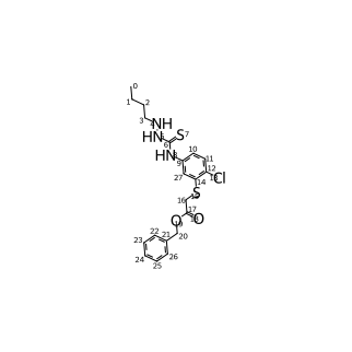 CCCCNNC(=S)Nc1ccc(Cl)c(SCC(=O)OCc2ccccc2)c1